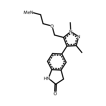 CNCCOCc1c(-c2ccc3c(c2)CC(=O)N3)c(C)nn1C